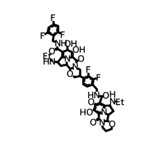 CCNC1CC2C3OCC(c4ccc(CNC(=O)c5c6n7c(c(O)c5=O)C(=O)N5CCCOC5C7CC6NCC)c(F)c4F)CN3C(=O)C3=C(O)C(O)C(C(=O)NCc4c(F)cc(F)cc4F)=C1N32